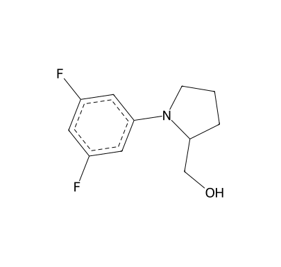 OCC1CCCN1c1cc(F)cc(F)c1